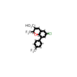 O=C(O)C1=Cc2cc(Cl)cc(-c3ccc(C(F)(F)F)cc3)c2OC1C(F)(F)F